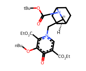 CCCCOc1c(C(=O)OCC)n(C[C@@H]2C3CCC(CC3)N2C(=O)OC(C)(C)C)cc(C(=O)OCC)c1=O